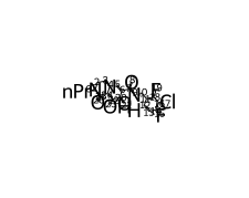 CCCN1CCn2cc(C(=O)NCc3ccc(F)c(Cl)c3F)c(=O)c(O)c2C1=O